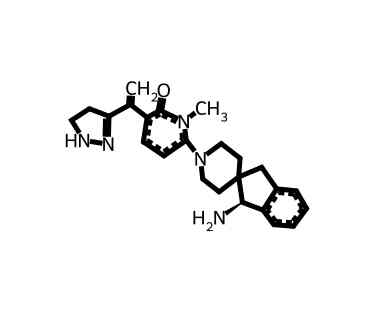 C=C(C1=NNCC1)c1ccc(N2CCC3(CC2)Cc2ccccc2[C@H]3N)n(C)c1=O